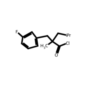 CC(C)CC(C)(Cc1cccc(F)c1)C(=O)Cl